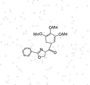 COC1=CC(C(=O)C2COC(c3ccccc3)=N2)CC(OC)=C1OC